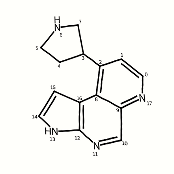 c1cc(C2CCNC2)c2c(cnc3[nH]ccc32)n1